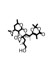 CO[C@](C)(C[C@@H](C)CO)[C@H](O[C@@H]1OC(C)CC(N(C)C)C1P=O)[C@@H](C)C1=C(C)C(=O)OC(C)(C)O1